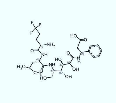 CC(C)C[C@H](NC(=O)[C@@H](N)CCC(F)(F)F)C(=O)N[C@@H](CO)[C@@H](O)[C@@H](O)[C@H](O)C(=O)N[C@@H](CC(=O)O)c1ccccc1